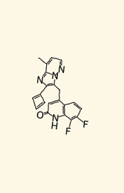 Cc1ccnn2c(Cc3cc(=O)[nH]c4c(F)c(F)ccc34)c(C3=CC=C3)nc12